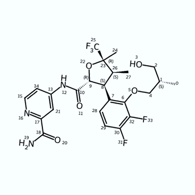 C[C@@H](CO)COc1c([C@H]2[C@H](C(=O)Nc3ccnc(C(N)=O)c3)O[C@@](C)(C(F)(F)F)[C@H]2C)ccc(F)c1F